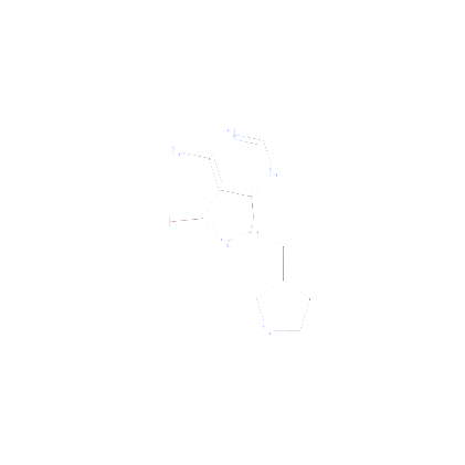 Nc1ncnc2c1c(I)nn2CC1CCNC1